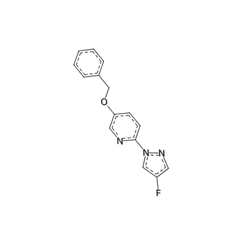 Fc1cnn(-c2ccc(OCc3ccccc3)cn2)c1